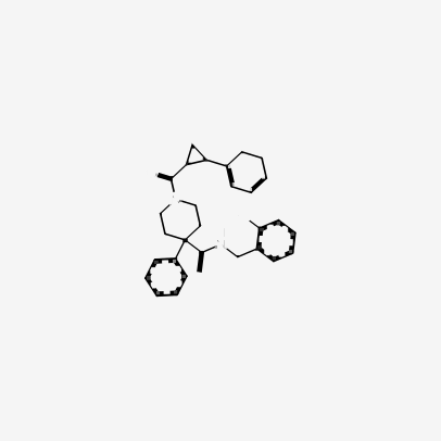 C=C(NCc1ccccc1O)C1(c2ccccc2)CCN(C(=O)C2CC2C2=CC=CCC2)CC1